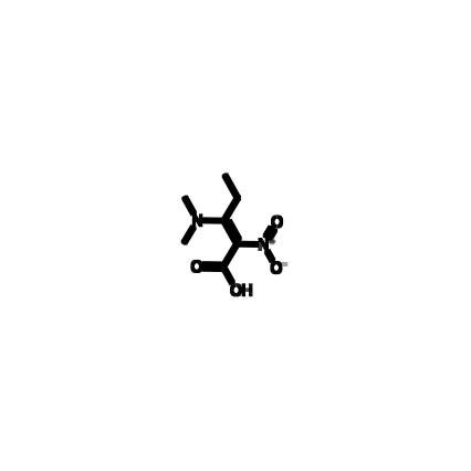 CCC(=C(C(=O)O)[N+](=O)[O-])N(C)C